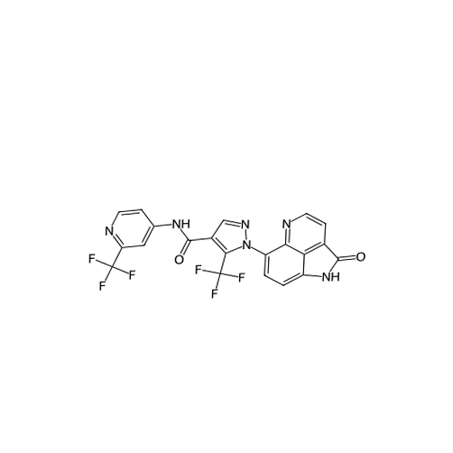 O=C(Nc1ccnc(C(F)(F)F)c1)c1cnn(-c2ccc3c4c(ccnc24)C(=O)N3)c1C(F)(F)F